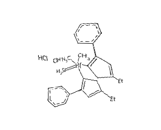 CCC1=CC(c2ccccc2)=[C]([Hf]([CH3])([CH3])(=[SiH2])[C]2=C(c3ccccc3)C=C(CC)C2)C1.Cl.Cl